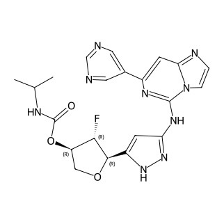 CC(C)NC(=O)O[C@@H]1CO[C@H](c2cc(Nc3nc(-c4cncnc4)cc4nccn34)n[nH]2)[C@H]1F